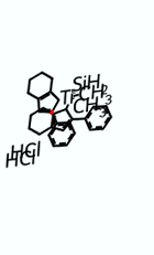 Cl.Cl.[CH3][Ti]([CH3])(=[SiH2])([CH]1C(c2ccccc2)=CC2=C1CCCC2)[CH]1C(c2ccccc2)=CC2=C1CCCC2